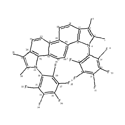 Cc1c(C)n(-c2c(F)c(F)c(F)c(F)c2F)c2c1ccc1c3ccc4c(C)c(C)n(-c5c(F)c(F)c(F)c(F)c5F)c4c3ccc12